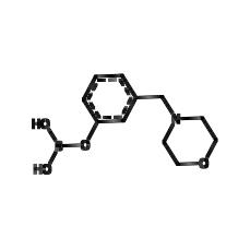 OB(O)Oc1cccc(CN2CCOCC2)c1